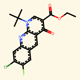 CCOC(=O)c1cn(C(C)(C)C)c2nc3cc(Cl)c(F)cc3cc2c1=O